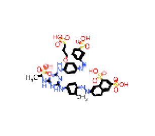 Cc1cc(Nc2nc(Nc3ccc(/N=N\c4cccc(S(=O)(=O)O)c4)cc3OCCCS(=O)(=O)O)nc(NC(C)S(=O)(=O)O)n2)ccc1N=Nc1ccc2cc(S(=O)(=O)O)cc(S(=O)(=O)O)c2c1